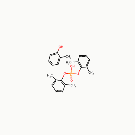 Cc1cccc(C)c1OP(=O)(O)Oc1c(C)cccc1C.Cc1ccccc1O